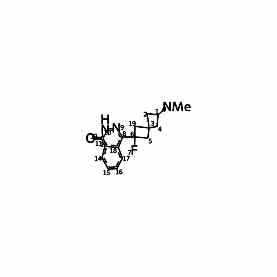 CNC1CC2(C1)CC(F)(c1n[nH]c(=O)c3ccccc13)C2